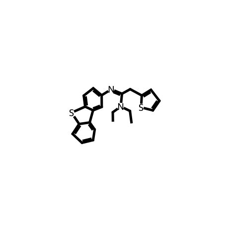 CCN(CC)C(Cc1cccs1)=Nc1ccc2sc3ccccc3c2c1